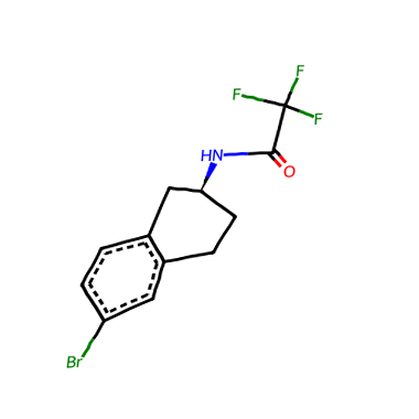 O=C(N[C@H]1CCc2cc(Br)ccc2C1)C(F)(F)F